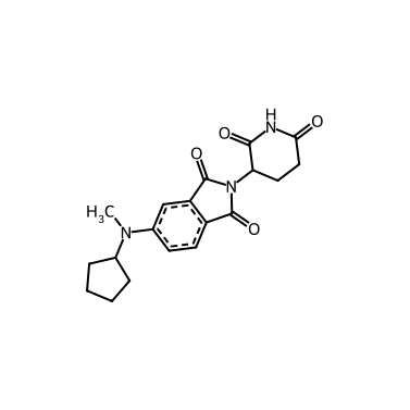 CN(c1ccc2c(c1)C(=O)N(C1CCC(=O)NC1=O)C2=O)C1CCCC1